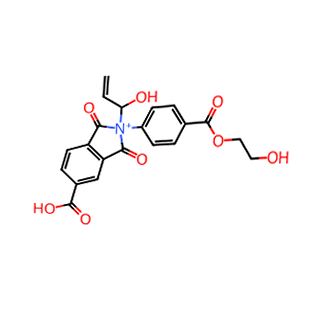 C=CC(O)[N+]1(c2ccc(C(=O)OCCO)cc2)C(=O)c2ccc(C(=O)O)cc2C1=O